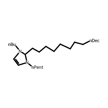 CCCCCCCCCCCCCCCCCCC1N(CCCC)C=CN1CCCCC